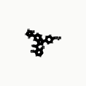 O=C(c1c(Cl)cccc1Cl)c1cc(C2CCC(C(=O)O)CC2)c2ccc(-c3ncn[nH]3)cn12